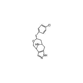 Clc1ccc(SC2CC3Cc4[nH]ncc4C(CO2)N3)cc1